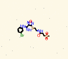 CS(=O)(=O)CCC(=O)NCCSc1nonc1C(=N)Nc1cccc(Br)c1